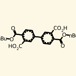 CCCCOC(=O)c1ccc(-c2ccc(C(=O)OCCCC)c(C(=O)O)c2)cc1C(=O)O